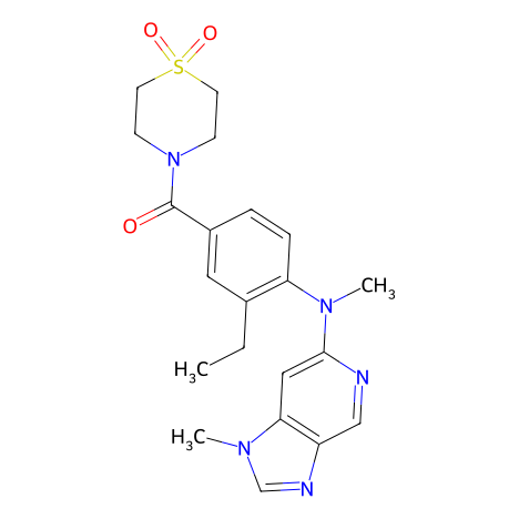 CCc1cc(C(=O)N2CCS(=O)(=O)CC2)ccc1N(C)c1cc2c(cn1)ncn2C